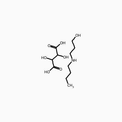 CCCCNCCCO.O=C(O)C(O)C(O)C(=O)O